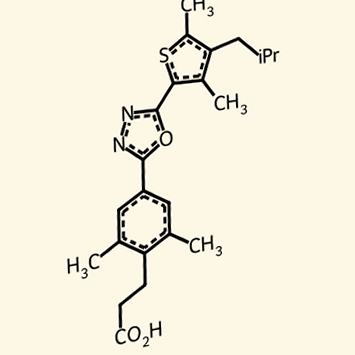 Cc1cc(-c2nnc(-c3sc(C)c(CC(C)C)c3C)o2)cc(C)c1CCC(=O)O